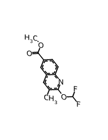 COC(=O)c1ccc2nc(OC(F)F)c(C)cc2c1